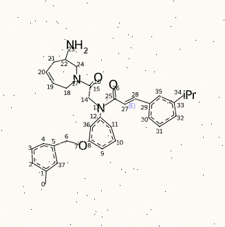 Cc1cccc(COc2cccc(N(CC(=O)N3CC=CCC(N)C3)C(=O)/C=C/c3cccc(C(C)C)c3)c2)c1